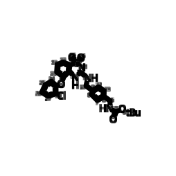 CC(C)(C)OC(=O)NCc1ccc(CNC2=NS(=O)(=O)c3cccc(Oc4ccccc4Cl)c3N2)cc1